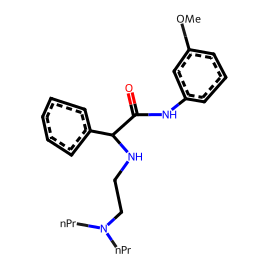 CCCN(CCC)CCNC(C(=O)Nc1cccc(OC)c1)c1ccccc1